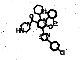 CCc1cccc(CC)c1-n1c(C2CCCCC2)c(C(=O)N2CCNCC2)cc(-c2nc(-c3ccc(Cl)cc3)cs2)c1=O